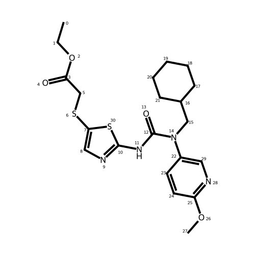 CCOC(=O)CSc1cnc(NC(=O)N(CC2CCCCC2)c2ccc(OC)nc2)s1